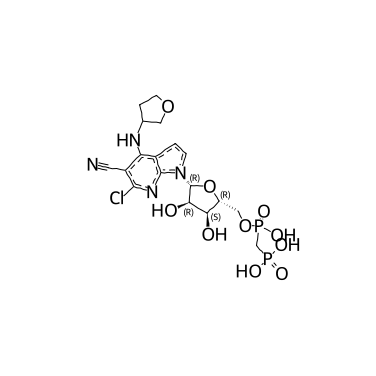 N#Cc1c(Cl)nc2c(ccn2[C@@H]2O[C@H](COP(=O)(O)CP(=O)(O)O)[C@@H](O)[C@H]2O)c1NC1CCOC1